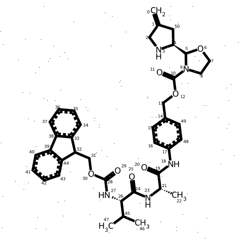 C=C1CN[C@H](C2OCCN2C(=O)OCc2ccc(NC(=O)[C@H](C)NC(=O)[C@@H](NC(=O)OCC3c4ccccc4-c4ccccc43)C(C)C)cc2)C1